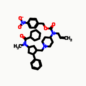 C=CCN(C(=O)OCc1ccc([N+](=O)[O-])cc1)C1CCN(CC2CC(N(C)C(=O)C3CCCCC3)CC2c2ccccc2)CC1